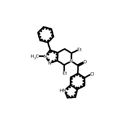 CCC1Cc2c(nn(C)c2-c2ccccc2)C(CC)N1C(=O)c1cc2[nH]ccc2cc1Cl